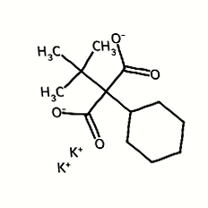 CC(C)(C)C(C(=O)[O-])(C(=O)[O-])C1CCCCC1.[K+].[K+]